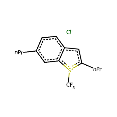 CCCc1ccc2cc(CCC)[s+](C(F)(F)F)c2c1.[Cl-]